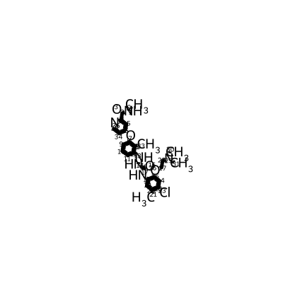 CNC(=O)c1cc(Oc2cccc(NNC(=O)Nc3cc(C)c(Cl)cc3OCCN(C)C)c2C)ccn1